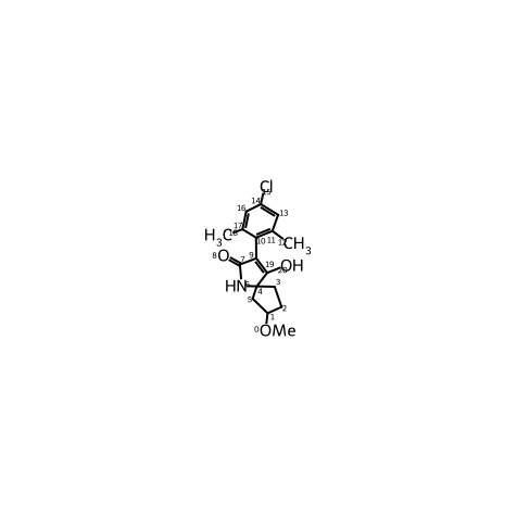 COC1CCC2(C1)NC(=O)C(c1c(C)cc(Cl)cc1C)=C2O